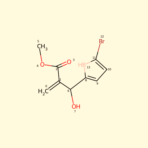 C=C(C(=O)OC)C(O)C1=CC=C(Br)B1